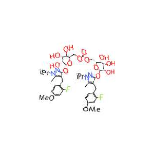 COc1ccc(Cc2c(O[C@H]3O[C@H](COC(=O)OC[C@H]4O[C@H](Oc5nn(C(C)C)c(C)c5Cc5ccc(OC)cc5F)[C@H](O)[C@H](O)[C@H]4O)[C@H](O)[C@@H](O)[C@H]3O)nn(C(C)C)c2C)c(F)c1